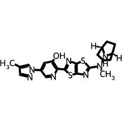 Cc1cnn(-c2cnc(-c3nc4sc(N(C)C5C[C@H]6CC[C@@H](C5)N6)nc4s3)c(O)c2)c1